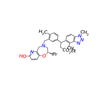 CCOC(=O)CC(c1ccc(C)c(CN2Cc3nc(O)ccc3O[C@H](C(C)C)C2)c1)c1ccc2c(nnn2C)c1C